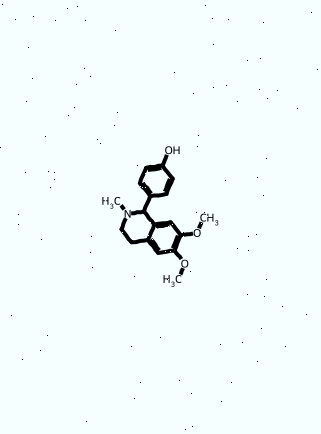 COc1cc2c(cc1OC)C(c1ccc(O)cc1)N(C)CC2